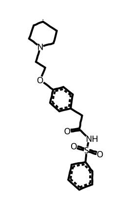 O=C(Cc1ccc(OCCN2CC[CH]CC2)cc1)NS(=O)(=O)c1ccccc1